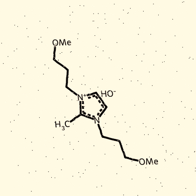 COCCCn1cc[n+](CCCOC)c1C.[OH-]